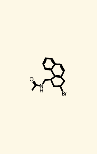 CC(=O)NCC1CC(Br)Cc2ccc3ccccc3c21